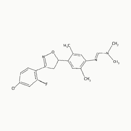 Cc1cc(C2CC(c3ccc(Cl)cc3F)=NO2)c(C)cc1N=CN(C)C